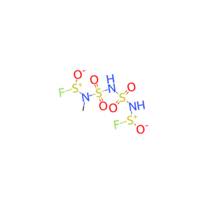 CN([S+]([O-])F)S(=O)(=O)NS(=O)(=O)N[S+]([O-])F